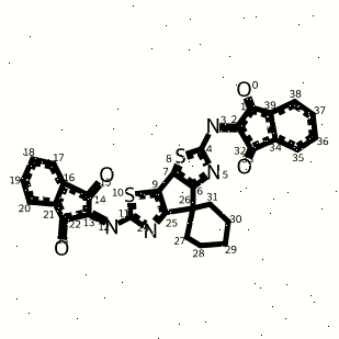 O=c1c(=Nc2nc3c(s2)-c2sc(N=c4c(=O)c5ccccc5c4=O)nc2C32CCCCC2)c(=O)c2ccccc12